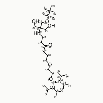 CC(C)N(C(C)C)P(OCCOCCSC(=O)CCNC(CO)(CO)CO[Si](C)(C)C(C)(C)C)N(C(C)C)C(C)C